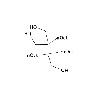 CCCCCCCCC(CO)(CO)C(CO)(CCCCCCCC)CCCCCCCC